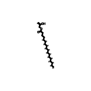 C=C(O)COC(=O)CCCCCCCCCCCCCCCCC